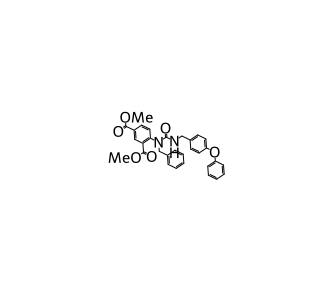 COC(=O)c1ccc(N(Cc2ccccc2)C(=O)NCc2ccc(Oc3ccccc3)cc2)c(C(=O)OC)c1